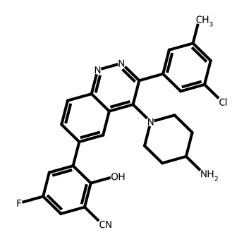 Cc1cc(Cl)cc(-c2nnc3ccc(-c4cc(F)cc(C#N)c4O)cc3c2N2CCC(N)CC2)c1